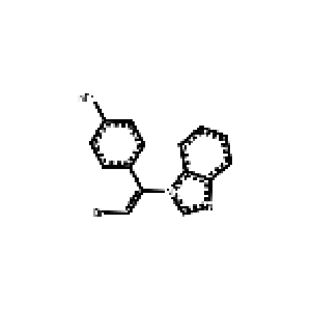 CCCc1ccc(C(=CBr)n2cnc3ccccc32)cc1